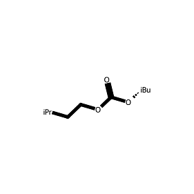 C[CH][C@@H](C)OC(=O)OCCC(C)C